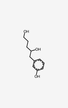 OCCCC(O)Cc1cccc(O)c1